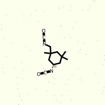 CC1(C)C[C@H](N=C=O)CC(C)(CN=C=O)C1